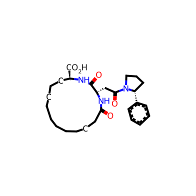 O=C1CCCCCCCCCC[C@@H](C(=O)O)NC(=O)[C@H](CC(=O)N2CCC[C@@H]2c2ccccc2)N1